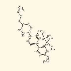 C=CCCC1CCC(c2ccc3c(c2F)C(F)(F)C(F)(F)c2c-3ccc(OCC)c2F)OC1